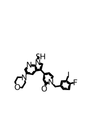 O=c1cc(-c2cn(S)c3ncc(N4CCOCC4)cc23)ccn1Cc1ccc(F)c(I)c1